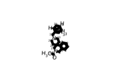 CC(=O)N1Cc2ccccc2C2(CCN(CC3=CC[C@@H]4C[C@@H]3C4(C)C)CC2)C1